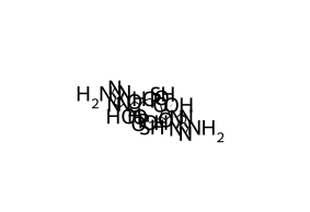 Nc1ncnc2c1ncn2C1O[C@H]2CO[P@](=O)(S)OC3[C@H](CO[P@@](=O)(S)O[C@@H]2C1O)O[C@@H](n1cnc2c(N)ncnc21)[C@H]3O